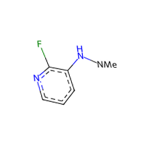 CNNc1cccnc1F